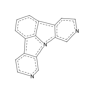 c1cc2c3ccncc3n3c4cnccc4c(c1)c23